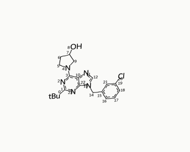 CC(C)(C)c1nc(N2CCC(O)C2)c2ncn(Cc3cccc(Cl)c3)c2n1